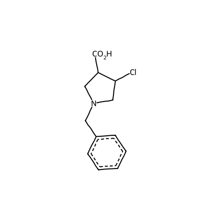 O=C(O)C1CN(Cc2ccccc2)CC1Cl